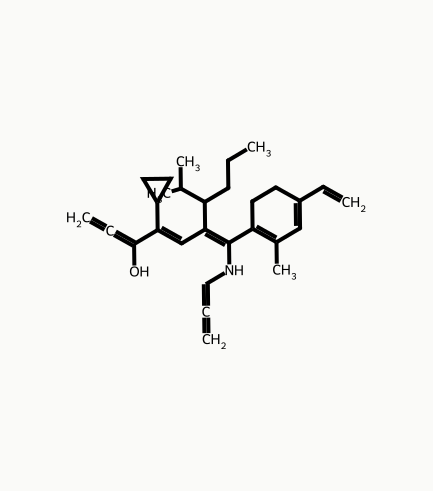 C=C=CN/C(C1=C(C)C=C(C=C)CC1)=C(\C=C(\C(O)=C=C)C1CC1)C(CCC)C(C)C